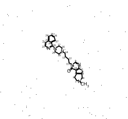 CN1CCc2c(sc3ncn(CCCCN4CCN(c5nccc6ccccc56)CC4)c(=O)c23)C1